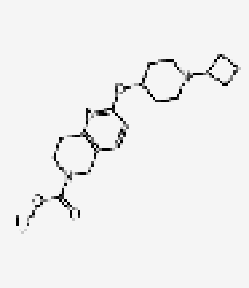 COC(=O)N1CCc2nc(OC3CCN(C4CCC4)CC3)ccc2C1